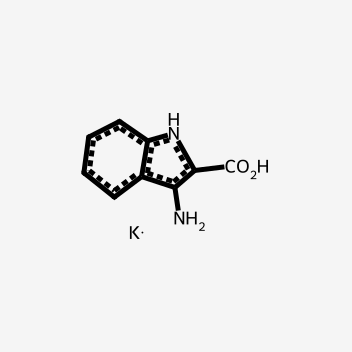 Nc1c(C(=O)O)[nH]c2ccccc12.[K]